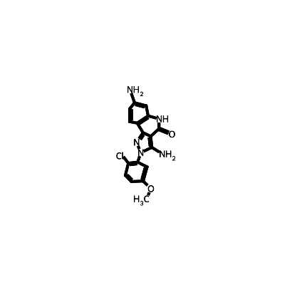 COc1ccc(Cl)c(-n2nc3c(c2N)c(=O)[nH]c2cc(N)ccc23)c1